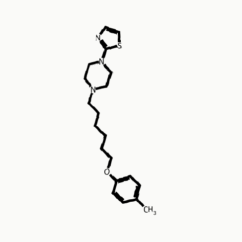 Cc1ccc(OCCCCCCN2CCN(c3nccs3)CC2)cc1